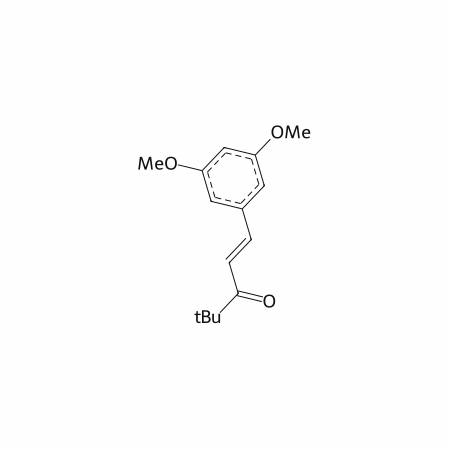 COc1cc(C=CC(=O)C(C)(C)C)cc(OC)c1